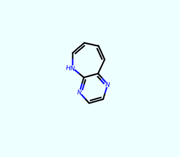 C1=CNc2nccnc2C=C1